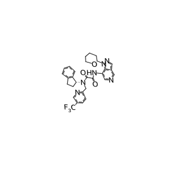 O=C(Nc1cncc2cnn(C3CCCCO3)c12)C(=O)N(Cc1ccc(C(F)(F)F)cn1)[C@@H]1CCc2ccccc21